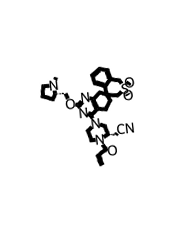 C=CC(=O)N1CCN(c2nc(OC[C@@H]3CCCN3C)nc3c2CCC2(C3)CS(=O)(=O)Cc3ccccc32)C[C@@H]1CC#N